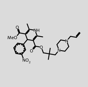 C=CCN1CCN(CC(C)(C)COC(=O)C2=C(C)NC(C)=C(C(=O)OC)C2c2cccc([N+](=O)[O-])c2)CC1